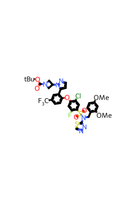 COc1ccc(CN(c2nncs2)S(=O)(=O)c2cc(Cl)c(Oc3ccc(C(F)(F)F)cc3-c3ccnn3C3CN(C(=O)OC(C)(C)C)C3)cc2F)c(OC)c1